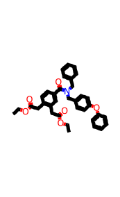 CCOC(=O)Cc1ccc(C(=O)N(Cc2ccccc2)Cc2ccc(Oc3ccccc3)cc2)cc1CC(=O)OCC